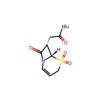 CC(C)(C)C(=O)C[C@H]1C(=O)N2C=CCS(=O)(=O)[C@@H]12